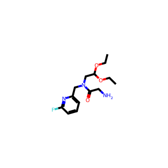 CCOC(CN(Cc1cccc(F)n1)C(=O)CN)OCC